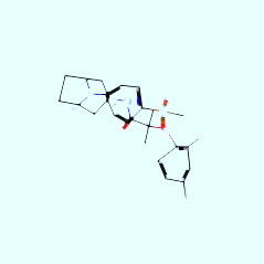 CC(C)(Oc1ccc(Cl)cc1F)C(=O)N[C@H]1C[C@H]2CC[C@@H](C1)N2c1ccc(S(C)(=O)=O)cc1